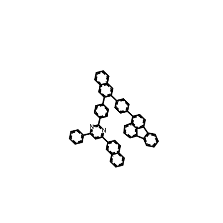 c1ccc(-c2cc(-c3ccc4ccccc4c3)nc(-c3ccc(-c4cc5ccccc5cc4-c4ccc(-c5ccc6c7c(cccc57)-c5ccccc5-6)cc4)cc3)n2)cc1